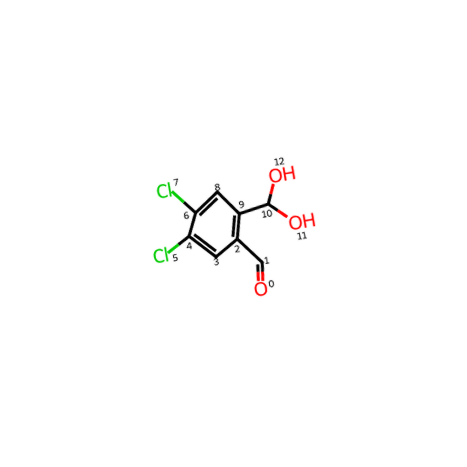 O=Cc1cc(Cl)c(Cl)cc1C(O)O